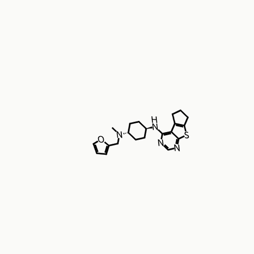 CN(Cc1ccco1)[C@H]1CC[C@H](Nc2ncnc3sc4c(c23)CCC4)CC1